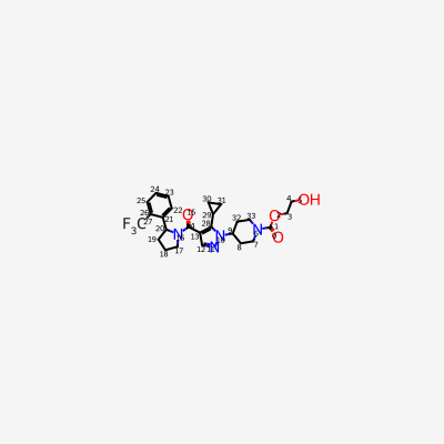 O=C(OCCO)N1CCC(n2ncc(C(=O)N3CCCC3c3ccccc3C(F)(F)F)c2C2CC2)CC1